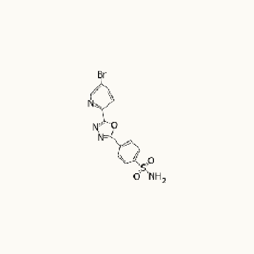 NS(=O)(=O)c1ccc(-c2nnc(-c3ccc(Br)cn3)o2)cc1